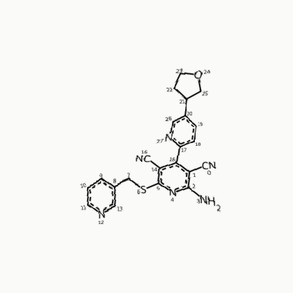 N#Cc1c(N)nc(SCc2cccnc2)c(C#N)c1-c1ccc(C2CCOC2)cn1